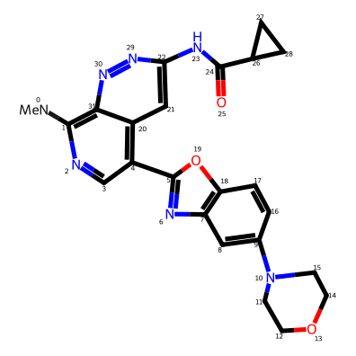 CNc1ncc(-c2nc3cc(N4CCOCC4)ccc3o2)c2cc(NC(=O)C3CC3)nnc12